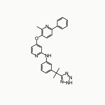 Cc1nc(-c2ccccc2)ccc1Oc1ccnc(Nc2cccc(C(C)(C)c3nn[nH]n3)c2)c1